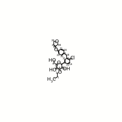 CCCO[C@H]1[C@H](O)[C@@H](CO)OC(c2ccc(Cl)c(Cc3ccc(O[C@@H]4CCOC4)cc3)c2)[C@@H]1O